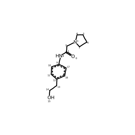 O=C(CN1CCCC1)Nc1ccc(CCO)cc1